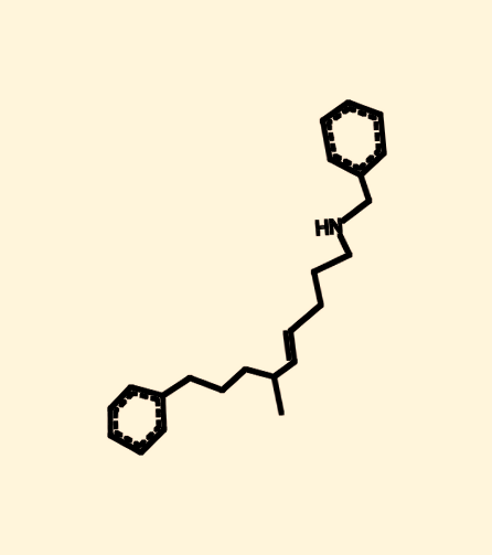 CC(C=CCCCNCc1ccccc1)CCCc1ccccc1